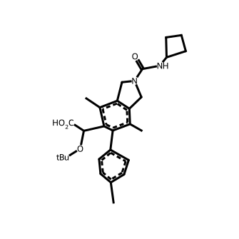 Cc1ccc(-c2c(C)c3c(c(C)c2C(OC(C)(C)C)C(=O)O)CN(C(=O)NC2CCC2)C3)cc1